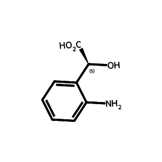 Nc1ccccc1[C@H](O)C(=O)O